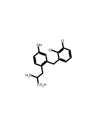 NC(Cc1ccc(O)cc1Cc1cccc(Cl)c1Cl)C(=O)O